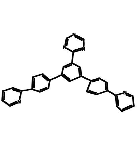 c1ccc(-c2ccc(-c3cc(-c4ccc(-c5ccccn5)cc4)cc(-c4ncncn4)c3)cc2)nc1